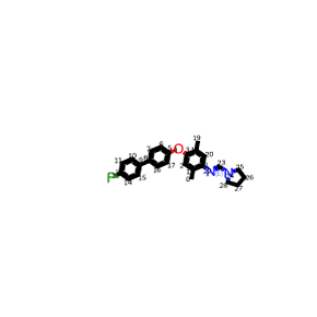 Cc1cc(Oc2ccc(-c3ccc(F)cc3)cc2)c(C)cc1/N=C/N1CCCC1